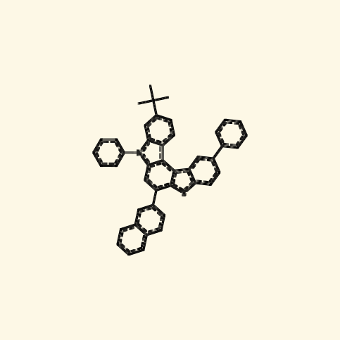 CC(C)(C)c1ccc2c3c4c(sc5ccc(-c6ccccc6)cc54)c(-c4ccc5ccccc5c4)cc3n(-c3ccccc3)c2c1